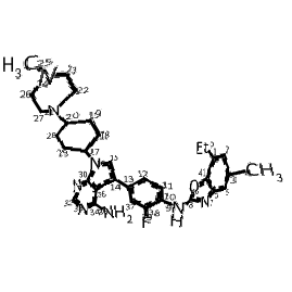 CCc1cc(C)cc2nc(Nc3ccc(-c4cn(C5CCC(N6CCN(C)CC6)CC5)c5ncnc(N)c45)cc3F)oc12